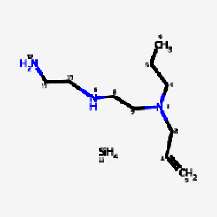 C=CCN(CCC)CCNCCN.[SiH4]